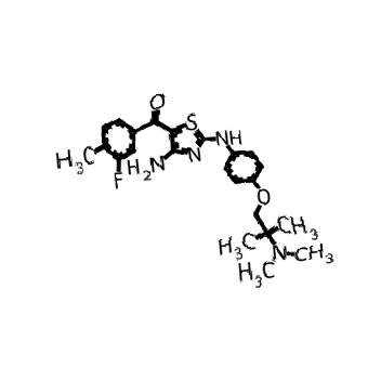 Cc1ccc(C(=O)c2sc(Nc3ccc(OCC(C)(C)N(C)C)cc3)nc2N)cc1F